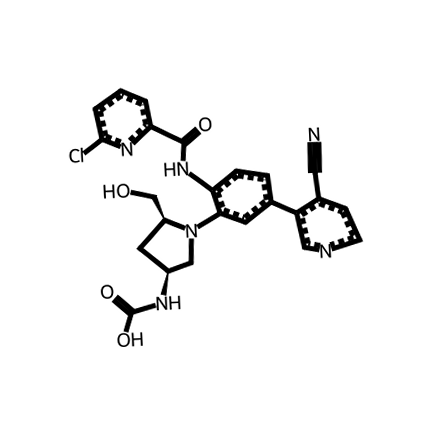 N#Cc1ccncc1-c1ccc(NC(=O)c2cccc(Cl)n2)c(N2C[C@@H](NC(=O)O)C[C@H]2CO)c1